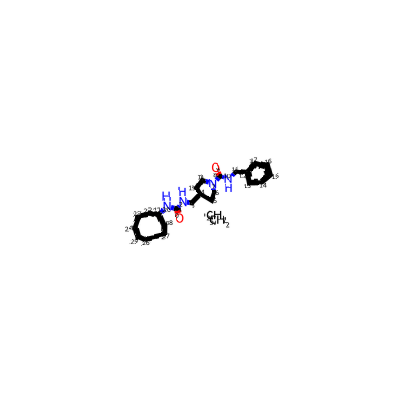 O=C(NCC1CCN(C(=O)NCc2ccccc2)CC1)N[C]1CCCCCCC1.[CH2].[CH2]